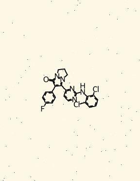 O=c1c(-c2ccc(F)cc2)c(-c2ccnc(Nc3c(Cl)cccc3Cl)n2)n2n1CCC2